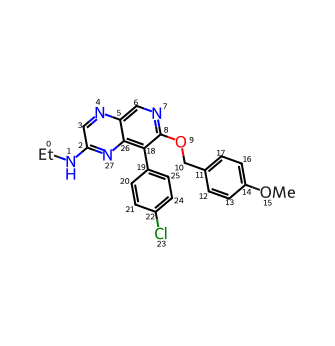 CCNc1cnc2cnc(OCc3ccc(OC)cc3)c(-c3ccc(Cl)cc3)c2n1